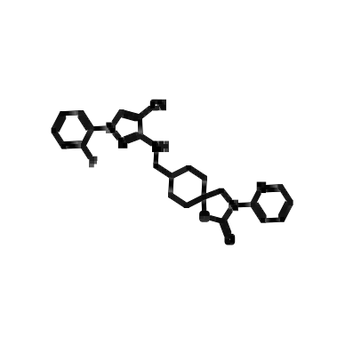 N#Cc1cn(-c2ccccc2F)nc1NCC1CCC2(CC1)CN(c1ccccn1)C(=O)O2